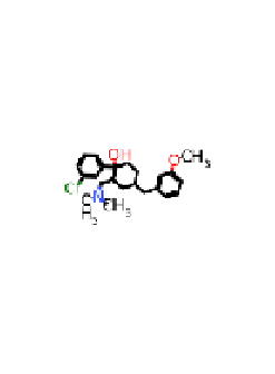 COc1cccc(CC2CCC(O)(c3cccc(Cl)c3)C(CN(C)C)C2)c1